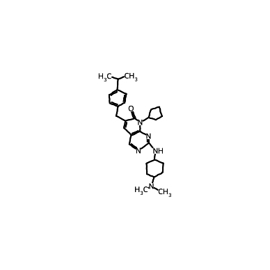 CC(C)c1ccc(Cc2cc3cnc(NC4CCC(N(C)C)CC4)nc3n(C3CCCC3)c2=O)cc1